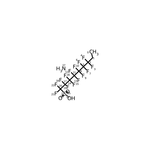 CCC(F)(F)C(F)(F)C(F)(F)C(F)(F)C(F)(F)C(F)(F)C(F)(F)S(=O)(=O)O.N